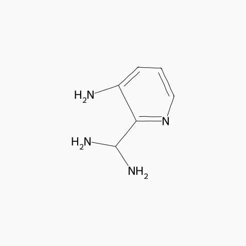 Nc1cccnc1C(N)N